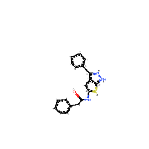 O=C(Cc1ccccc1)Nc1cc2c(-c3ccccc3)n[nH]c2s1